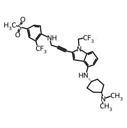 CN(C)[C@H]1CC[C@H](Nc2cccc3c2cc(C#CCNc2ccc(S(C)(=O)=O)cc2C(F)(F)F)n3CC(F)(F)F)CC1